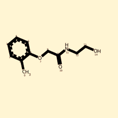 Cc1ccccc1OCC(=O)NCCO